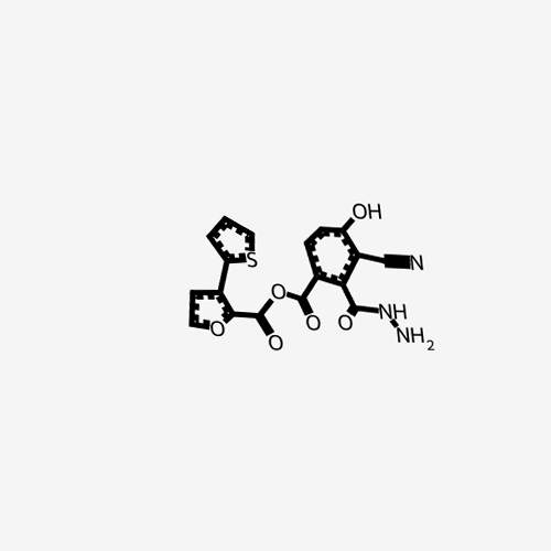 N#Cc1c(O)ccc(C(=O)OC(=O)c2occc2-c2cccs2)c1C(=O)NN